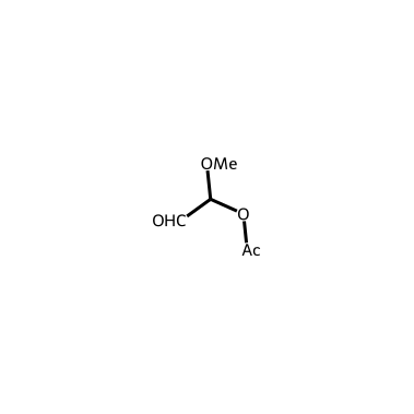 COC(C=O)OC(C)=O